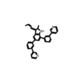 C/C=C\C=C1\c2cc(-c3cccc(-c4cccnc4)c3)cc(-c3cccc(-c4cccnc4)c3)c2NC1C